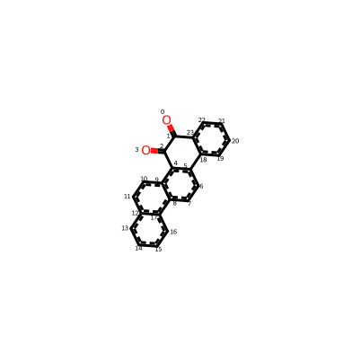 O=C1C(=O)c2c(ccc3c2ccc2ccccc23)-c2ccccc21